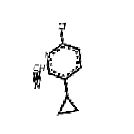 C#N.Clc1ccc(C2CC2)cn1